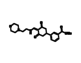 COC(=O)c1cccc(C2CC(=O)C(=CNCCN3CCOCC3)C(=O)C2)c1